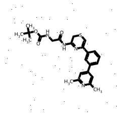 Cc1cc(-c2cccc(C3=CSCC(NC(=O)CNC(=O)OC(C)(C)C)=N3)c2)cc(C)n1